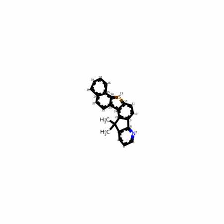 CC1(C)c2cccnc2-c2ccc3sc4c5ccccc5ccc4c3c21